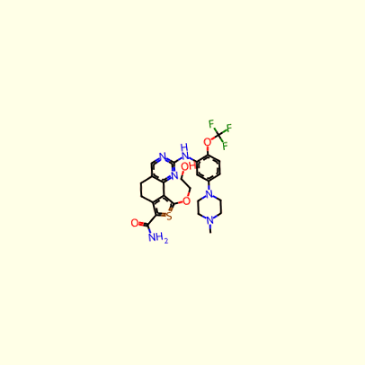 CN1CCN(c2ccc(OC(F)(F)F)c(Nc3ncc4c(n3)-c3c(OCCO)sc(C(N)=O)c3CC4)c2)CC1